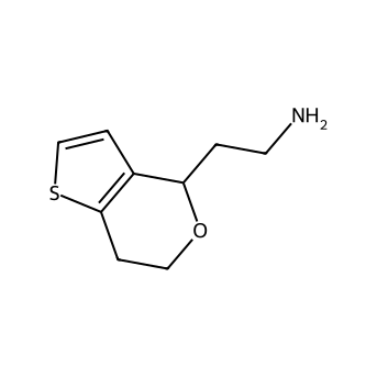 NCCC1OCCc2sccc21